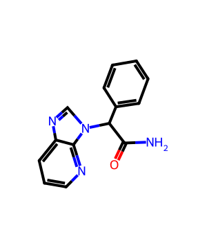 NC(=O)C(c1ccccc1)n1cnc2cccnc21